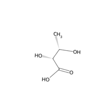 C[C@H](O)[C@@H](O)C(=O)O